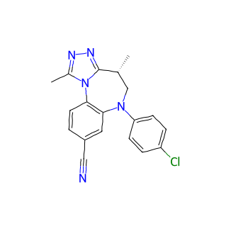 Cc1nnc2n1-c1ccc(C#N)cc1N(c1ccc(Cl)cc1)C[C@H]2C